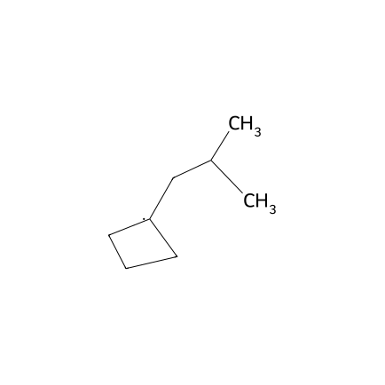 CC(C)C[C]1CCC1